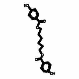 O=C(OCCCCCCOC(=O)c1ccc(O)cc1)c1ccc(O)cc1